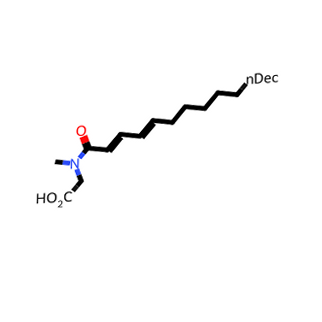 CCCCCCCCCCCCCCCC=CC=CC(=O)N(C)CC(=O)O